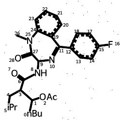 CCCCC(OC(C)=O)C(CC(C)C)C(=O)NC1N=C(c2ccc(F)cc2)c2ccccc2N(C)C1=O